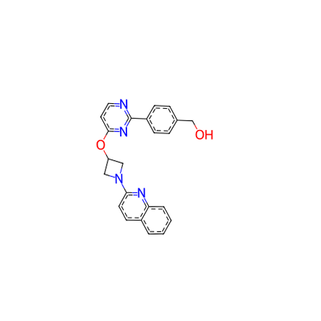 OCc1ccc(-c2nccc(OC3CN(c4ccc5ccccc5n4)C3)n2)cc1